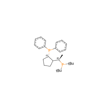 C[C@H](C1CCC[C@@H]1P(c1ccccc1)c1ccccc1)P(C(C)(C)C)C(C)(C)C